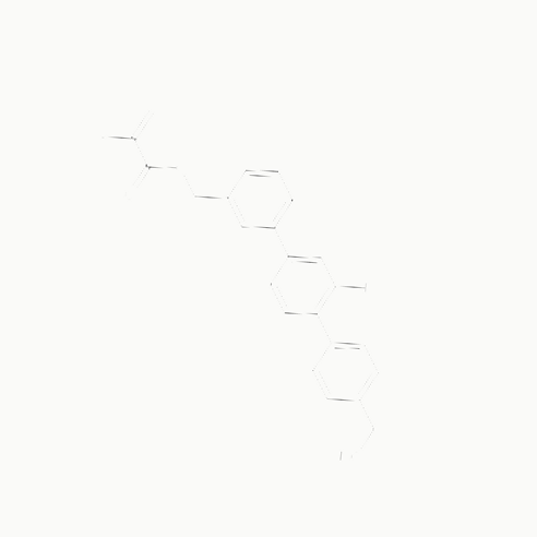 C=C(C)C(=O)OCc1cccc(-c2ccc(-c3ccc(CO)cc3)c(F)c2)c1